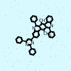 Cc1c2c(-c3ccccc3)nc3cc(-c4cc(-c5ccccc5)nc(-c5ccccc5)n4)ccc3c2c(C)c2c(-c3ccccc3)nc3ccccc3c12